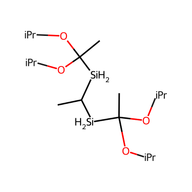 CC(C)OC(C)(OC(C)C)[SiH2]C(C)[SiH2]C(C)(OC(C)C)OC(C)C